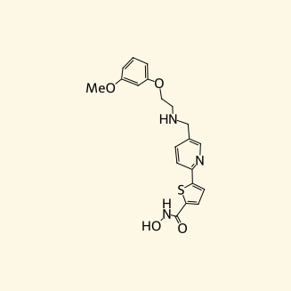 COc1cccc(OCCNCc2ccc(-c3ccc(C(=O)NO)s3)nc2)c1